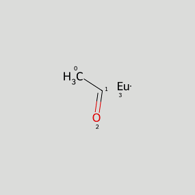 CC=O.[Eu]